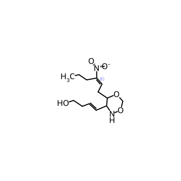 CCC/C(=C\CC1OCONC1C=CCCO)[N+](=O)[O-]